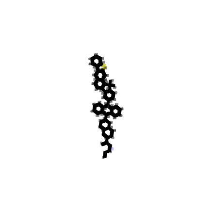 C=C/C=C\C(=C)C1=CC2=CC=C(c3c4ccccc4c(-c4ccc5c(c4)-c4ccc6cc7c(cc6c4C5(C)C)sc4ccccc47)c4ccccc34)CC2C=C1